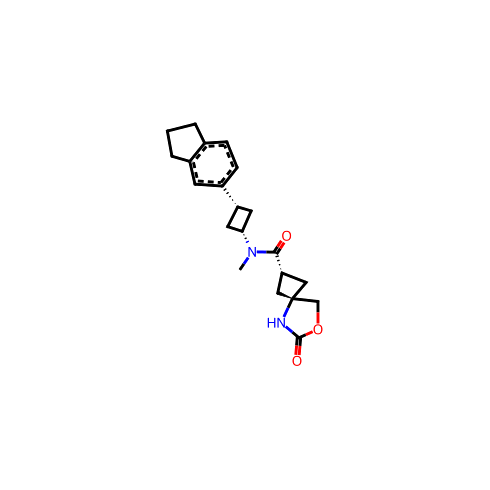 CN(C(=O)[C@H]1C[C@]2(COC(=O)N2)C1)[C@H]1C[C@@H](c2ccc3c(c2)CCC3)C1